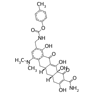 Cc1ccc(OC(=O)NCc2cc(N(C)C)c3c(c2O)C(=O)C2=C(O)[C@]4(O)C(=O)C(C(N)=O)=C(O)C[C@@H]4C[C@@H]2C3)cc1